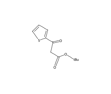 CC(C)(C)OC(=O)CC(=O)c1cccs1